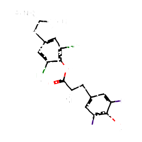 CC(=O)N[C@@H](Cc1cc(Br)c(OC(=O)[C@H](Cc2cc(I)c(O)c(I)c2)NC(C)=O)c(Br)c1)C(=O)O